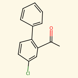 CC(=O)c1cc(Cl)ccc1-c1ccccc1